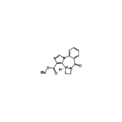 CC(C)(C)OC(=O)c1ncn2c1[C@@H]1CCN1C(=O)c1ccccc1-2